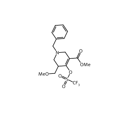 COCC1CN(Cc2ccccc2)CC(C(=O)OC)=C1OS(=O)(=O)C(F)(F)F